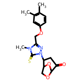 Cc1ccc(OCc2nn(C3CC(=O)C4OCC3O4)c(=S)n2C)cc1C